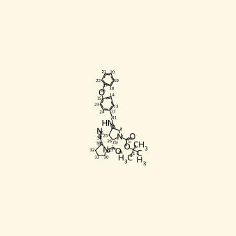 CC(C)(C)OC(=O)N1C[C@@H](NCc2ccc(Oc3ccccc3)cc2)C[C@H]1C(=O)N1CCC[C@H]1C#N